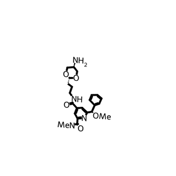 CNC(=O)c1cc(C(=O)NCCC[C@H]2OC[C@H](N)CO2)cc([C@@H](OC)c2ccccc2)n1